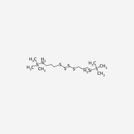 CS(C)(C)[SiH2]CCCSSSSCCC[SiH2]S(C)(C)C